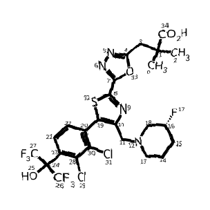 CC(C)(Cc1nnc(-c2nc(CN3CCC[C@@H](F)C3)c(-c3ccc(C(O)(C(F)(F)F)C(F)(F)F)c(Cl)c3Cl)s2)o1)C(=O)O